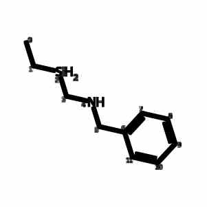 CC[SiH2]CNCc1ccccc1